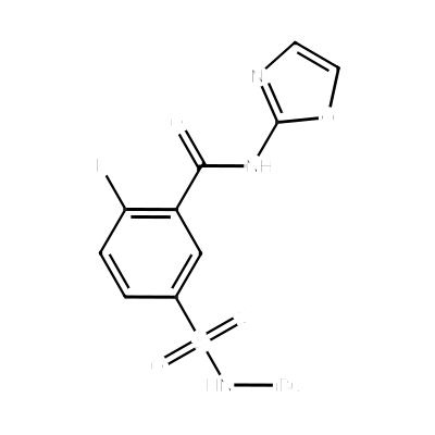 CCC(C)NS(=O)(=O)c1ccc(F)c(C(=O)Nc2ncco2)c1